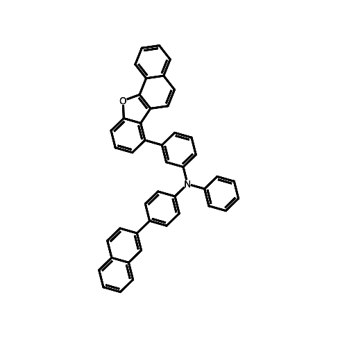 c1ccc(N(c2ccc(-c3ccc4ccccc4c3)cc2)c2cccc(-c3cccc4oc5c6ccccc6ccc5c34)c2)cc1